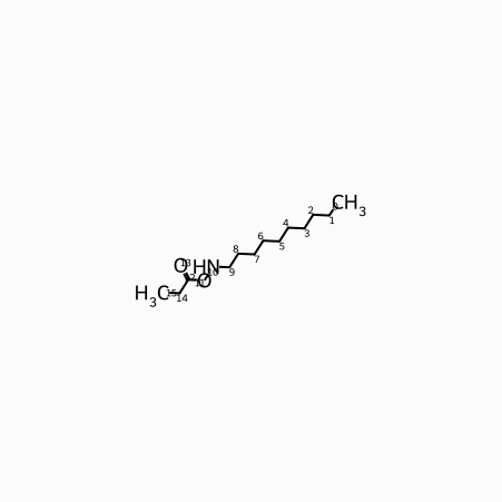 CCCCCCCCCCNOC(=O)CC